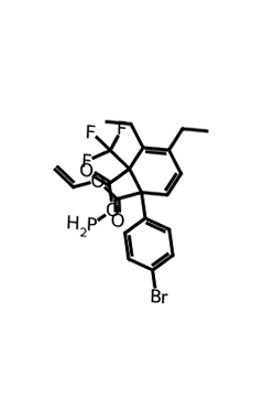 C=COC(=O)C1(c2ccc(Br)cc2)C=CC(CC)=C(CC)C1(C(=O)OP)C(F)(F)F